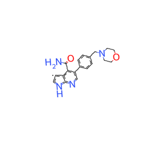 NC(=O)c1c(-c2ccc(CN3CCOCC3)cc2)cnc2[nH]c[c]c12